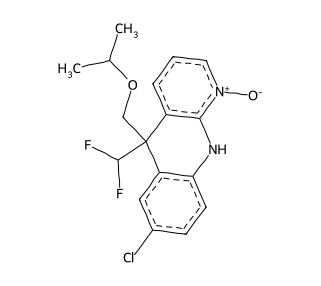 CC(C)OCC1(C(F)F)c2cc(Cl)ccc2Nc2c1ccc[n+]2[O-]